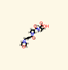 CC(C)[C@@](C)(C(=O)O)N(C)C(=O)[C@H]1CCN(C(=O)C#CCN2CCOCC2)C1